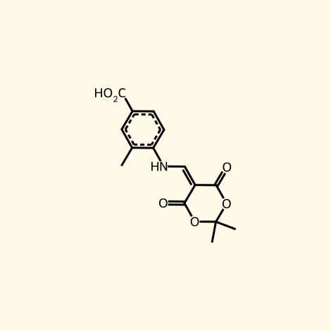 Cc1cc(C(=O)O)ccc1NC=C1C(=O)OC(C)(C)OC1=O